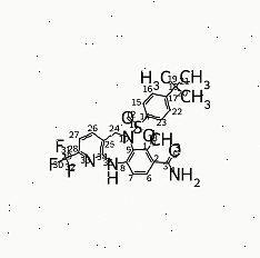 Cc1c(C(N)=O)ccc2c1N(S(=O)(=O)c1ccc(C(C)(C)C)cc1)Cc1ccc(C(F)(F)F)nc1N2